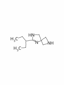 CCC(CC)C1=NC2(CNC2)CN1